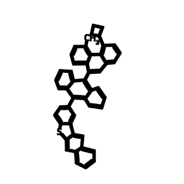 Cc1cccc2c(-c3c4ccccc4c(-c4ccc5sc6cc7ccccc7cc6c5c4)c4ccccc34)cc3cccc(C4CCC4)c3c12